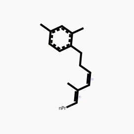 CCC/C=C(C)/C=C\CCc1ccc(C)cc1C